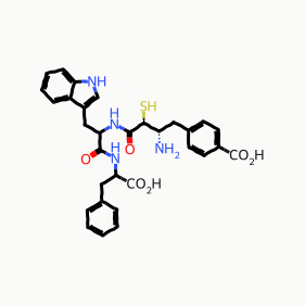 N[C@@H](Cc1ccc(C(=O)O)cc1)[C@H](S)C(=O)NC(Cc1c[nH]c2ccccc12)C(=O)NC(Cc1ccccc1)C(=O)O